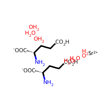 N[C@@H](CCC(=O)O)C(=O)[O-].N[C@@H](CCC(=O)O)C(=O)[O-].O.O.O.O.O.O.[Sr+2]